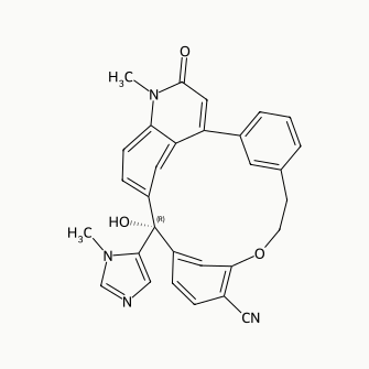 Cn1cncc1[C@]1(O)c2ccc(C#N)c(c2)OCCc2cccc(c2)-c2cc(=O)n(C)c3ccc1cc23